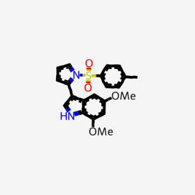 COc1cc(OC)c2[nH]cc(-c3cccn3S(=O)(=O)c3ccc(C)cc3)c2c1